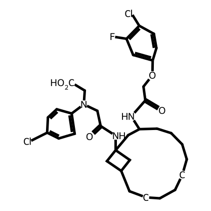 O=C(O)CN(CC(=O)NC12CC(CCCCCCCCCC(NC(=O)COc3ccc(Cl)c(F)c3)C1)C2)c1ccc(Cl)cc1